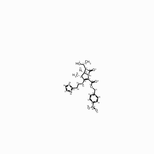 C[C@@H](O)[C@H]1C(=O)N2C(C(=O)OCc3ccc([N+](=O)[O-])cc3)=C(SCCc3nccs3)[C@H](C)[C@@H]12